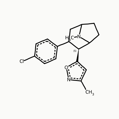 Cc1cc([C@H]2C(c3ccc(Cl)cc3)CC3CCC2N3C)on1